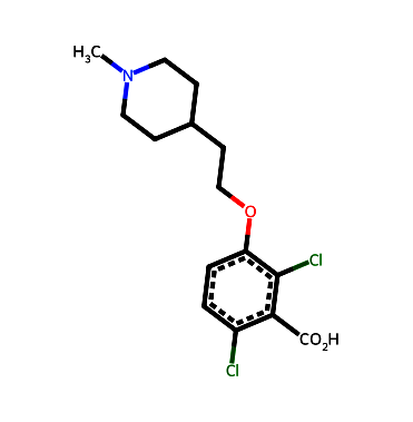 CN1CCC(CCOc2ccc(Cl)c(C(=O)O)c2Cl)CC1